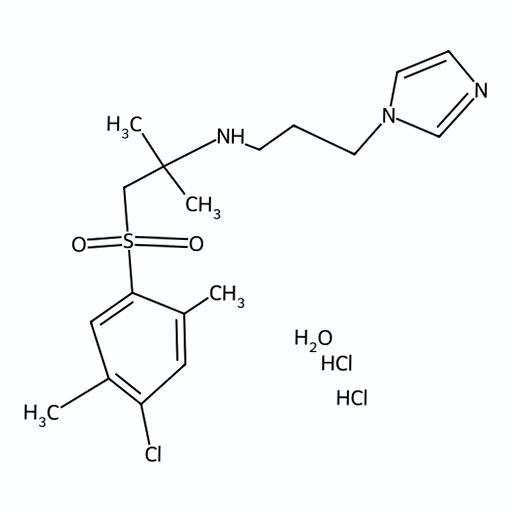 Cc1cc(S(=O)(=O)CC(C)(C)NCCCn2ccnc2)c(C)cc1Cl.Cl.Cl.O